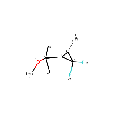 CC(C)[C@H]1[C@H](C(C)(C)OC(C)(C)C)C1(F)F